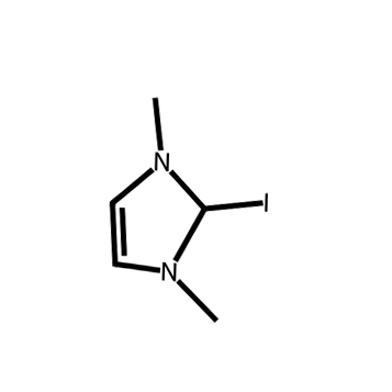 CN1C=CN(C)C1I